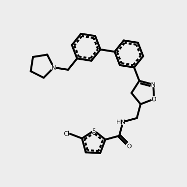 O=C(NCC1CC(c2cccc(-c3cccc(CN4CCCC4)c3)c2)=NO1)c1ccc(Cl)s1